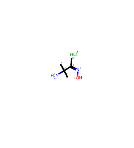 CC(=NO)C(C)(C)N.Cl